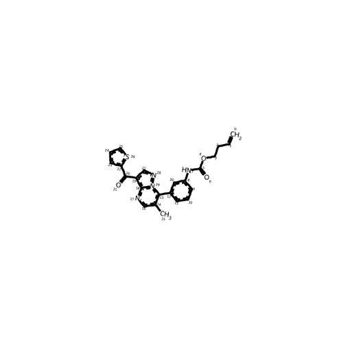 C=CCCOC(=O)Nc1cccc(-c2c(C)cnc3c(C(=O)c4cccs4)cnn23)c1